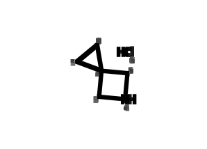 C1CC12CNC2.Cl